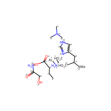 CC(=O)O.CC(N)=O.CCCC(=O)O.CN(C)C.CNC(Cc1c[nH]cn1)C(=O)O.NC(=O)CO